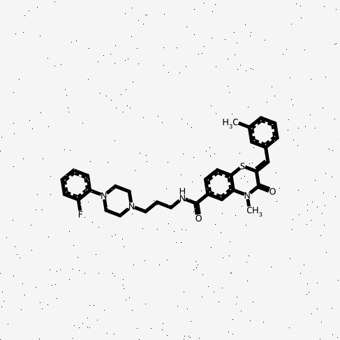 Cc1cccc(C=C2Sc3ccc(C(=O)NCCCN4CCN(c5ccccc5F)CC4)cc3N(C)C2=O)c1